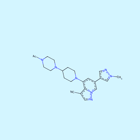 CC(=O)N1CCN(C2CCN(c3cc(-c4cnn(C)c4)cn4ncc(C#N)c34)CC2)CC1